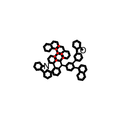 c1ccc(C(c2ccc(-c3cccc4ccccc34)cc2)c2ccc(-c3cccc4ccccc34)c(-c3ccc4oc5ccccc5c4c3)c2)c(-c2cc(-c3cccc4ccccc34)ccc2-n2c3ccccc3c3ccccc32)c1